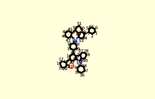 c1ccc(-c2ccc(N(c3ccc(-c4cc5c6ccccc6oc5c5c4c4ccccc4n5-c4ccccc4)cc3)c3ccccc3-c3ccccc3)cc2)cc1